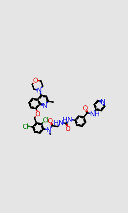 Cc1cc(N2CCOCC2)c2cccc(OCc3c(Cl)ccc(N(C)C(=O)CNC(=O)Nc4cccc(C(=O)Nc5ccncc5)c4)c3Cl)c2n1